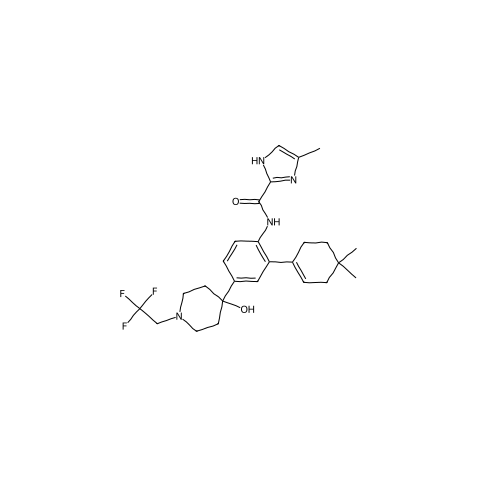 Cc1c[nH]c(C(=O)Nc2ccc(C3(O)CCN(CC(F)(F)F)CC3)cc2C2=CCC(C)(C)CC2)n1